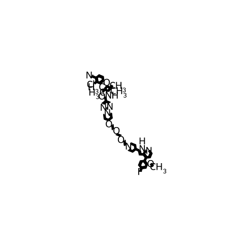 COc1cc(F)ccc1-c1ccnc2[nH]c(C3CCN(CCOCCOCCOC4CCN(c5ncc(C(=O)NC6C(C)(C)C(Oc7ccc(C#N)c(Cl)c7)C6(C)C)cn5)CC4)CC3)cc12